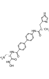 C[C@@H](Cc1c[nH]cn1)C(=O)Nc1ccc(-c2ccc(C(=O)N[C@@H](CN)C(=O)NO)cc2)cc1